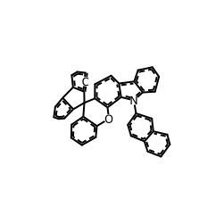 c1ccc2c(c1)Oc1c(ccc3c4ccccc4n(-c4ccc5ccccc5c4)c13)C21c2ccccc2-c2ccccc21